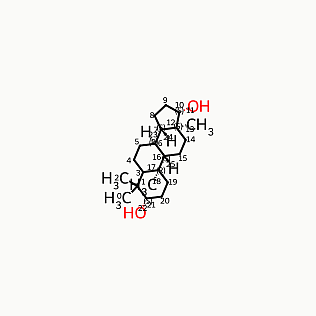 CC1(C)C2CC[C@H]3[C@@H]4CC[C@H](O)[C@@]4(C)CC[C@@H]3[C@@]2(C)CC[C@@H]1O